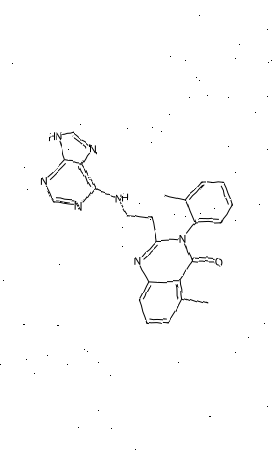 Cc1ccccc1-n1c(CCNc2ncnc3[nH]cnc23)nc2cccc(C)c2c1=O